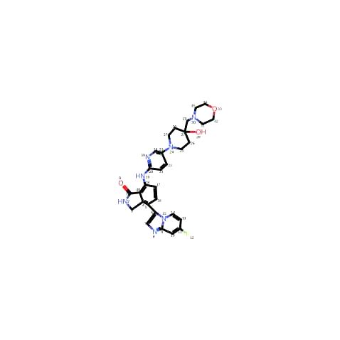 O=C1NCc2c(-c3cnc4cc(F)ccn34)ccc(Nc3ccc(N4CCC(O)(CN5CCOCC5)CC4)cn3)c21